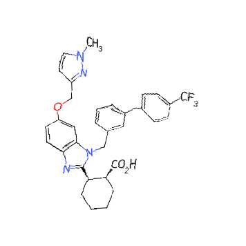 Cn1ccc(COc2ccc3nc([C@@H]4CCCC[C@@H]4C(=O)O)n(Cc4cccc(-c5ccc(C(F)(F)F)cc5)c4)c3c2)n1